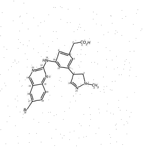 CN1CC(c2cc(CC(=O)O)cc(Nc3ncc4cc(Br)ccc4n3)c2)C=N1